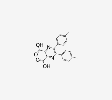 Cc1ccc(-c2nc(C(=O)O)c(C(=O)O)nc2-c2ccc(C)cc2)cc1